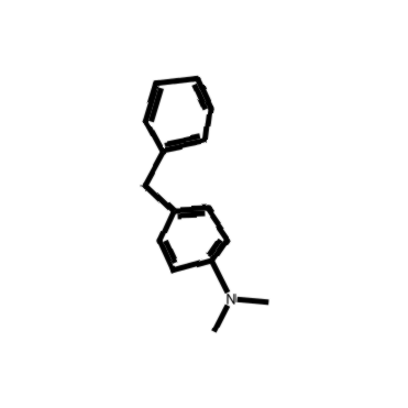 CN(C)c1ccc([CH]c2ccccc2)cc1